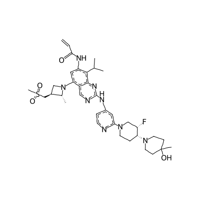 C=CC(=O)Nc1cc(N2C[C@H](CS(C)(=O)=O)[C@H]2C)c2cnc(Nc3ccnc(N4CC[C@@H](N5CCC(C)(O)CC5)[C@@H](F)C4)c3)nc2c1C(C)C